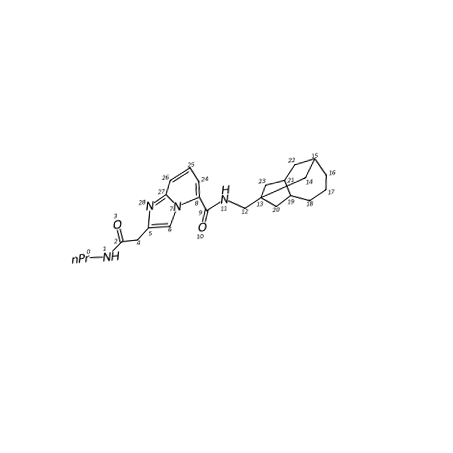 CCCNC(=O)Cc1cn2c(C(=O)NCC34CC5CCCC(C3)C(C5)C4)cccc2n1